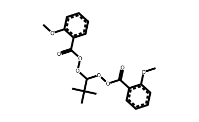 [CH2]C(C)(C)[C](OOC(=O)c1ccccc1OC)OOC(=O)c1ccccc1OC